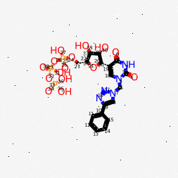 O=c1[nH]c(=O)n(Cn2cc(-c3ccccc3)nn2)cc1[C@@H]1O[C@H](COP(=O)(O)OP(=O)(O)OP(=O)(O)O)C(O)[C@@H]1O